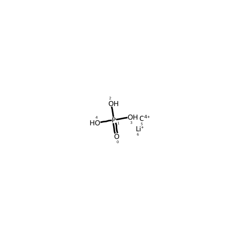 O=P(O)(O)O.[C+4].[Li+]